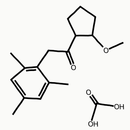 COC1CCCC1C(=O)Cc1c(C)cc(C)cc1C.O=C(O)O